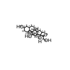 CC1C[C@H]2[C@@H]3CCC4CC(O)CC[C@]4(C)[C@H]3C(O)C[C@]2(C)[C@@]1(O)C(=O)CO